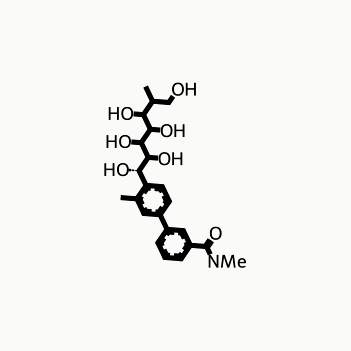 CNC(=O)c1cccc(-c2ccc([C@H](O)C(O)C(O)C(O)C(O)C(C)CO)c(C)c2)c1